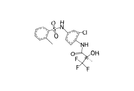 Cc1ccccc1S(=O)(=O)Nc1ccc(NC(=O)[C@@](C)(O)C(F)(F)F)c(Cl)c1